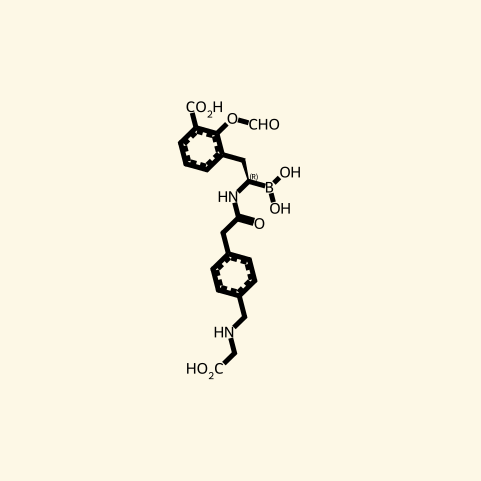 O=COc1c(C[C@H](NC(=O)Cc2ccc(CNCC(=O)O)cc2)B(O)O)cccc1C(=O)O